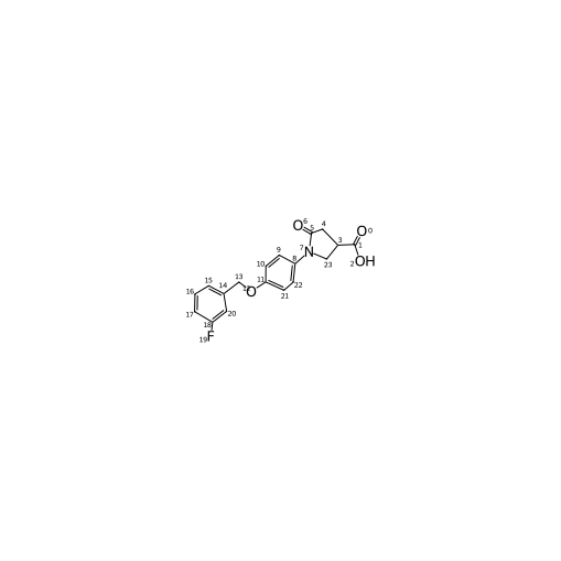 O=C(O)C1CC(=O)N(c2ccc(OCc3cccc(F)c3)cc2)C1